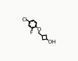 OC1CC(COc2ccc(Cl)cc2F)C1